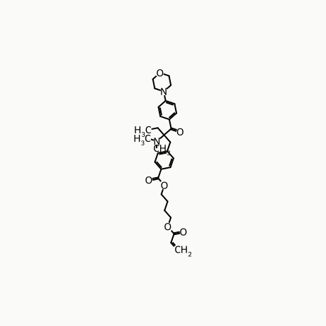 C=CC(=O)OCCCCOC(=O)c1ccc(CC(CC)(C(=O)c2ccc(N3CCOCC3)cc2)N(C)C)cc1